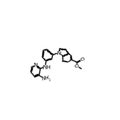 COC(=O)c1ccc2c(ccn2-c2cccc(Nc3ncccc3N)c2)c1